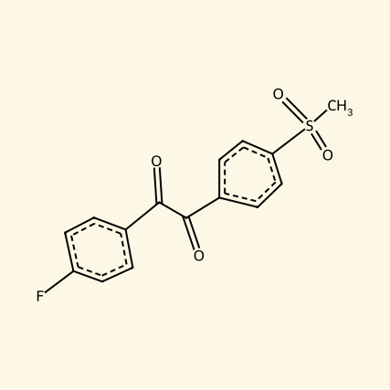 CS(=O)(=O)c1ccc(C(=O)C(=O)c2ccc(F)cc2)cc1